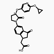 O=C(O)CC1CC(=O)c2cc(N3CC[C@@H](Oc4ccc(OC5CC5)nc4)C3=O)ccc21